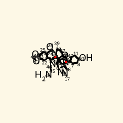 Cc1c(C(=O)N(c2ccc(O)cc2)c2cnn(C)c2)cc(-c2cc3c(cc2C(=O)N2Cc4ccccc4C[C@H]2C)OCO3)n1CCN